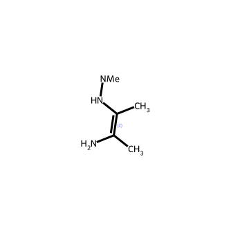 CNN/C(C)=C(/C)N